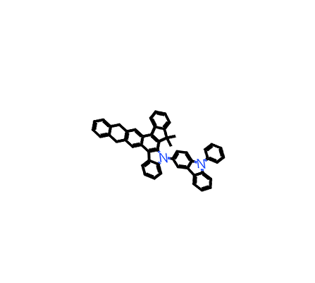 CC1(C)c2ccccc2-c2c1c1c(c3cc4c(cc23)Cc2ccccc2C4)c2ccccc2n1-c1ccc2c(c1)c1ccccc1n2-c1ccccc1